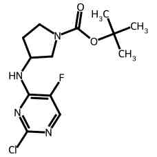 CC(C)(C)OC(=O)N1CCC(Nc2nc(Cl)ncc2F)C1